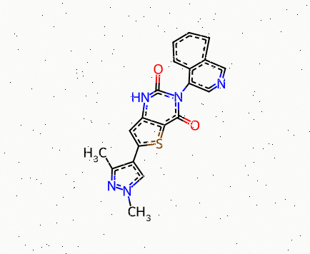 Cc1nn(C)cc1-c1cc2[nH]c(=O)n(-c3cncc4ccccc34)c(=O)c2s1